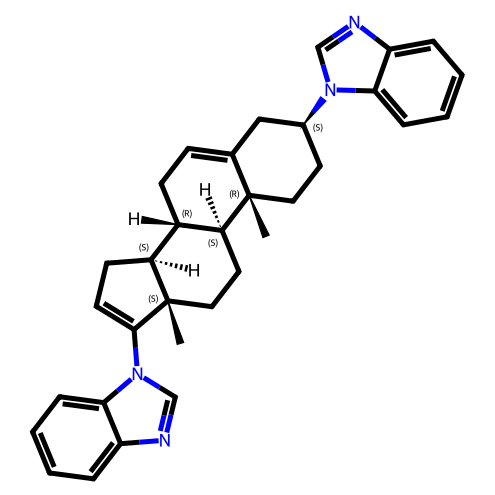 C[C@]12CC[C@H](n3cnc4ccccc43)CC1=CC[C@@H]1[C@@H]2CC[C@]2(C)C(n3cnc4ccccc43)=CC[C@@H]12